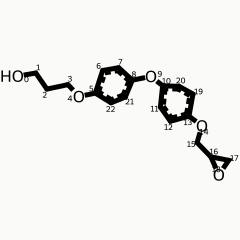 OCCCOc1ccc(Oc2ccc(OCC3CO3)cc2)cc1